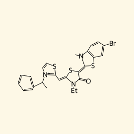 CCn1c(=O)/c(=C2\Sc3cc(Br)ccc3N2C)s/c1=C\c1scc[n+]1C(C)c1ccccc1